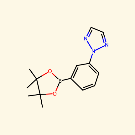 CC1(C)OB(c2cccc(-n3nccn3)c2)OC1(C)C